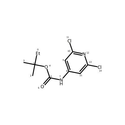 CCC(C)(C)OC(=O)Nc1cc(Cl)nc(Cl)c1